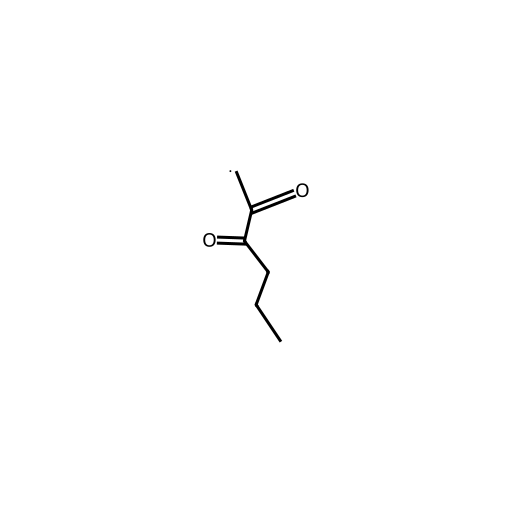 [CH2]C(=O)C(=O)CCC